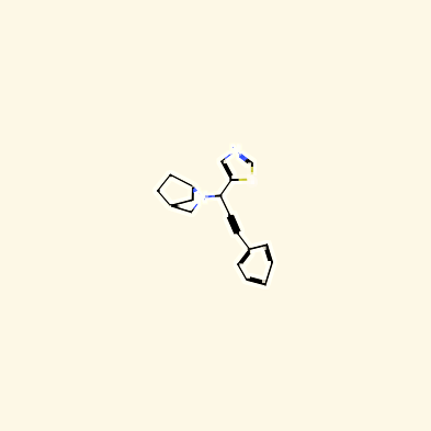 C(#CC(c1cncs1)N1CC2CCC1C2)c1ccccc1